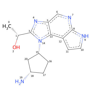 C[C@@H](O)c1nc2cnc3[nH]ccc3c2n1[C@@H]1CC[C@H](N)C1